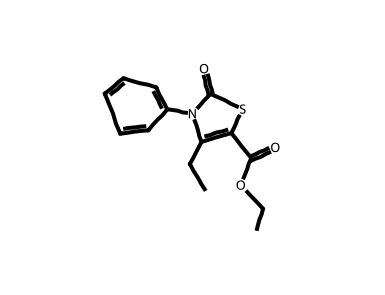 CCOC(=O)c1sc(=O)n(-c2ccccc2)c1CC